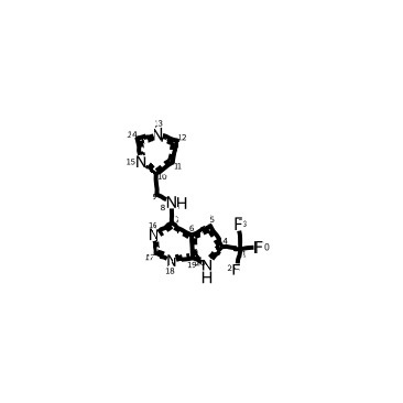 FC(F)(F)c1cc2c(NCc3ccncn3)ncnc2[nH]1